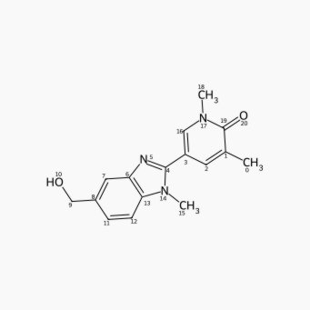 Cc1cc(-c2nc3cc(CO)ccc3n2C)cn(C)c1=O